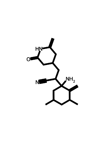 C=C1CC(CC(C#N)C2(N)CC(C)CC(C)C2=C)CC(=O)N1